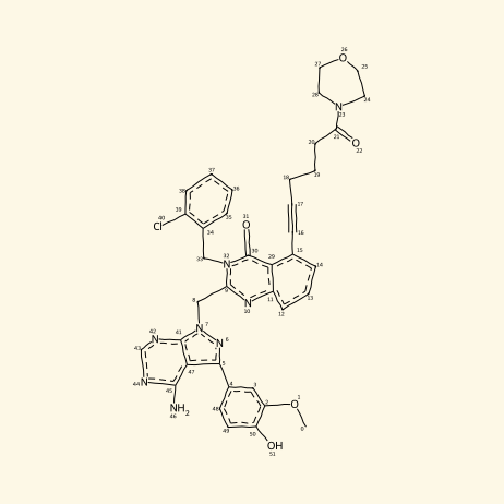 COc1cc(-c2nn(Cc3nc4cccc(C#CCCCC(=O)N5CCOCC5)c4c(=O)n3Cc3ccccc3Cl)c3ncnc(N)c23)ccc1O